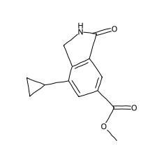 COC(=O)c1cc2c(c(C3CC3)c1)CNC2=O